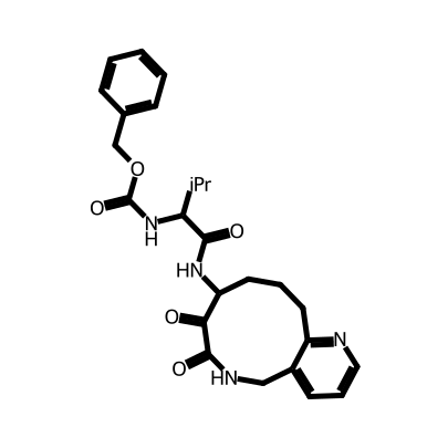 CC(C)C(NC(=O)OCc1ccccc1)C(=O)NC1CCCc2ncccc2CNC(=O)C1=O